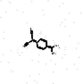 N#CC(C#N)=c1ccc(=C(N)N)cc1